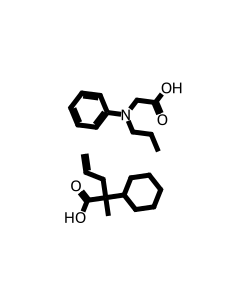 C=CCC(C)(C(=O)O)C1CCCCC1.CCCN(CC(=O)O)c1ccccc1